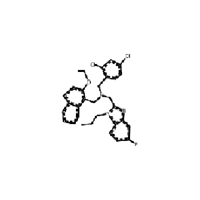 CCCn1c(CN(Cc2ccc(Cl)cc2Cl)Cc2c(OCC)ccc3ccccc23)nc2cc(F)ccc21